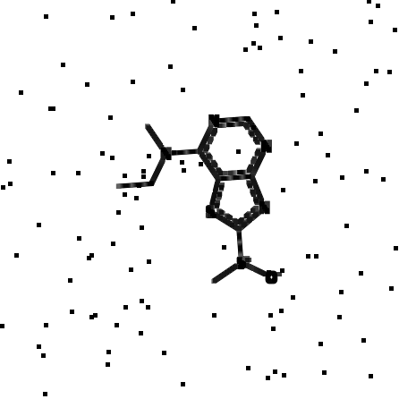 CCN(C)c1ncnc2nc([S+](C)[O-])sc12